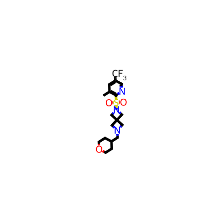 Cc1cc(C(F)(F)F)cnc1S(=O)(=O)N1CC2(CN(CC3CCOCC3)C2)C1